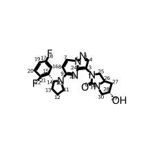 O=C1N(c2cnn3ccc(N4CCC[C@@H]4c4cc(F)ccc4F)nc23)CC2C[C@H](O)CN12